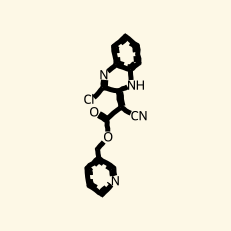 N#C/C(C(=O)OCc1cccnc1)=C1\Nc2ccccc2N=C1Cl